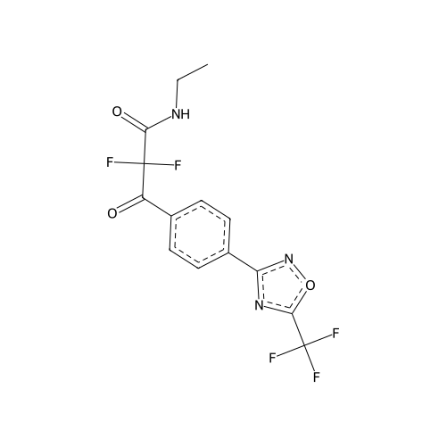 CCNC(=O)C(F)(F)C(=O)c1ccc(-c2noc(C(F)(F)F)n2)cc1